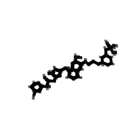 COc1cc2c(Nc3cc(CC(=O)Nc4cccc(F)c4)[nH]n3)ncnc2cc1OCCCN1CCCC(OP(=O)(O)O)C1